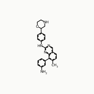 Cc1ccc2cnc(Nc3ccc(C4CNCCO4)cc3)nc2c1-c1cccc(N)c1